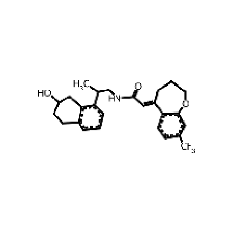 CC(CNC(=O)C=C1CCCOc2cc(C(F)(F)F)ccc21)c1cccc2c1CC(O)CC2